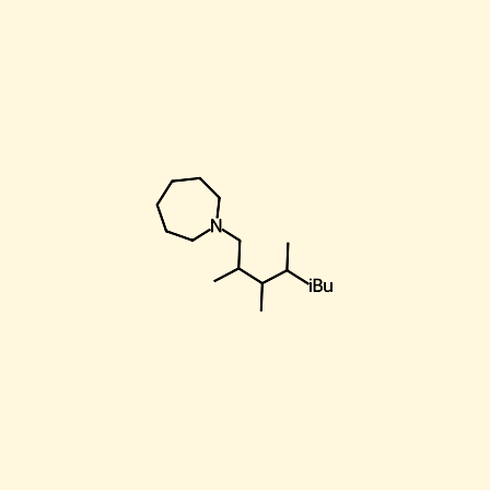 CCC(C)C(C)C(C)C(C)CN1CCCCCC1